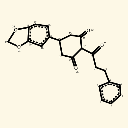 O=C(CCc1ccccc1)C1C(=O)CC(c2ccc3c(c2)OCO3)CC1=O